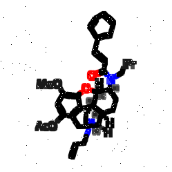 C=CCN1CC[C@]23c4c5c(OC(C)=O)cc(OC)c4O[C@H]2[C@H](N(CC(C)C)C(=O)C=Cc2ccccc2)CC[C@H]3[C@H]1C5